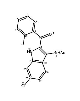 CC(=O)Nc1c(C(=O)c2ccccc2C)[nH]c2cc(Cl)ccc12